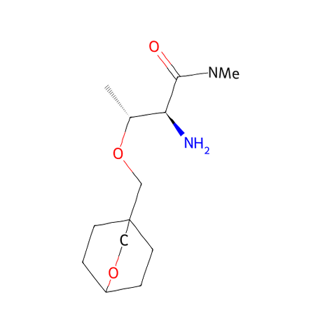 CNC(=O)[C@@H](N)[C@@H](C)OCC12CCC(CC1)OC2